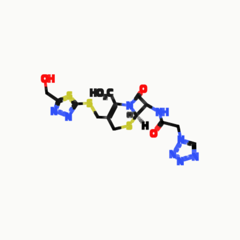 O=C(Cn1cnnn1)NC1C(=O)N2C(C(=O)O)=C(CSc3nnc(CO)s3)CS[C@H]12